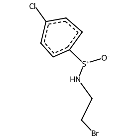 [O-][S+](NCCBr)c1ccc(Cl)cc1